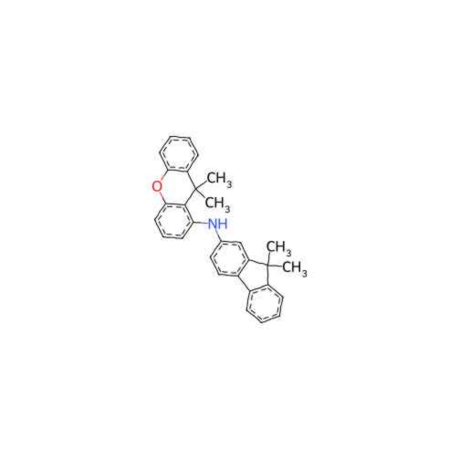 CC1(C)c2ccccc2-c2ccc(Nc3cccc4c3C(C)(C)c3ccccc3O4)cc21